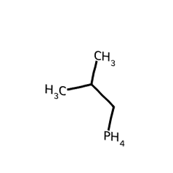 CC(C)C[PH4]